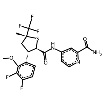 COc1c([C@@H]2C[C@](C)(C(F)(F)F)S[C@H]2C(=O)Nc2ccnc(C(N)=O)c2)ccc(F)c1F